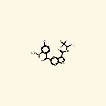 CNc1cc(Cl)ccc1C(=N)c1cnc2[nH]cc(C(=O)NC(C)C(F)(F)F)c2n1